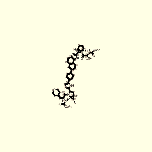 COC(=O)N[C@@H](C=C1CCOCC1)C(=O)N1C(c2ncc(-c3ccc(-c4ccc5c(ccc6nc(C7[C@H]8CC[C@H](C8)N7C(=O)[C@@H](NC(=O)OC)C(C)C)[nH]c65)c4)cc3)[nH]2)C[C@H]2[C@@H](C)[C@H]21